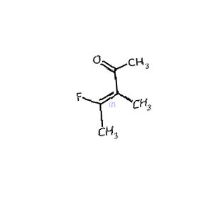 CC(=O)/C(C)=C(/C)F